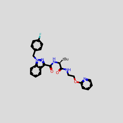 CC(C)(C)[C@H](NC(=O)c1nn(Cc2ccc(F)cc2)c2ccccc12)C(=O)NCCOc1ccccn1